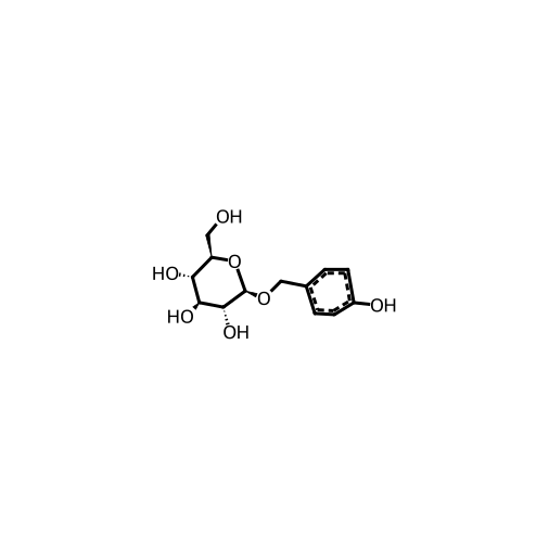 OC[C@H]1O[C@@H](OCc2ccc(O)cc2)[C@H](O)[C@@H](O)[C@@H]1O